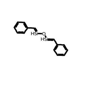 C(=[SiH]\O/[SiH]=C/c1ccccc1)/c1ccccc1